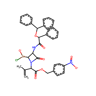 C=C(C)C(C(=O)OCc1ccc([N+](=O)[O-])cc1)N1C(=O)C(NC(=O)C(OC(c2ccccc2)c2ccccc2)c2ccccc2)C1[S+]([O-])Cl